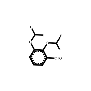 O=Cc1cccc(OC(F)F)c1OC(F)F